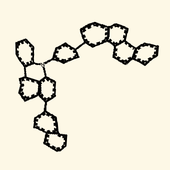 c1ccc(-c2ccccc2N(c2ccc(-c3ccc4ccccc4c3)cc2)c2ccc(-c3ccc4ccc5c6ccccc6ccc5c4c3)cc2)cc1